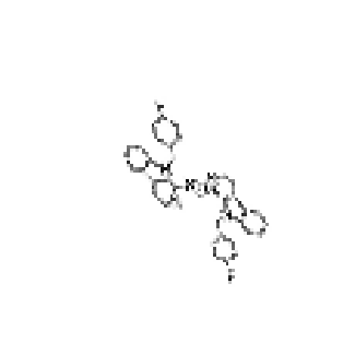 Fc1ccc(Cn2c3ccccc3c3ccnc(CNc4nccc5c6ccccc6n(Cc6ccc(F)cc6)c45)c32)cc1